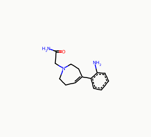 NC(=O)CN1CCC=C(c2ccccc2N)CC1